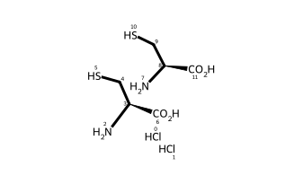 Cl.Cl.N[C@@H](CS)C(=O)O.N[C@@H](CS)C(=O)O